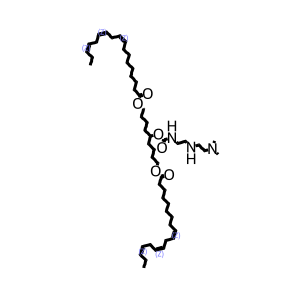 CC/C=C\C/C=C\C/C=C\CCCCCCCC(=O)OCCCCC(CCCCOC(=O)CCCCCCC/C=C\C/C=C\C/C=C\CC)OC(=O)NCCNCCN(C)C